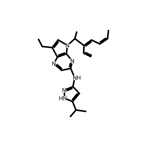 C=C/C(=C\C=C/C)C(C)n1cc(CC)c2ncc(Nc3cc(C(C)C)[nH]n3)nc21